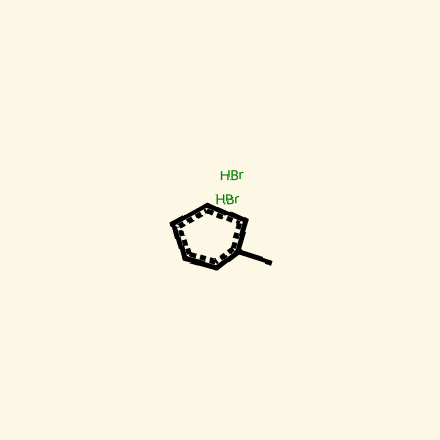 Br.Br.Cc1ccccc1